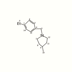 CCc1ccc(CN2CCC(C)CC2)cc1